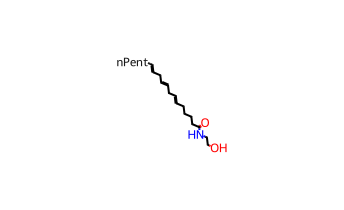 CCCCCC=CCC=CCC=CCCCCC(=O)NCCO